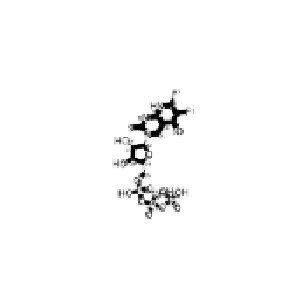 O=c1c(F)c(F)[nH]c2nc(=S)n([C@@H]3O[C@H](COP(=O)(O)OP(=O)(O)OP(=O)(O)O)C(O)[C@@H]3O)cc12